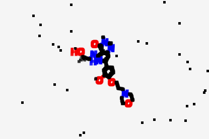 COc1cc(-c2cc3ncn(C)c(=O)c3c(NC[C@H](C)O)n2)ccc1OCCCN1CCOCC1